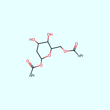 CCCC(=O)OCC1OC(OC(=O)CCC)CC(O)C1O